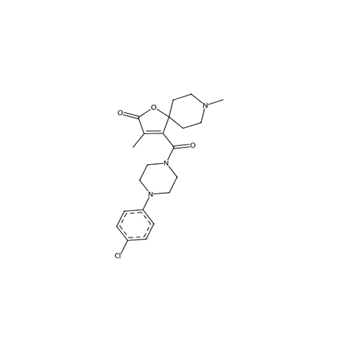 CC1=C(C(=O)N2CCN(c3ccc(Cl)cc3)CC2)C2(CCN(C)CC2)OC1=O